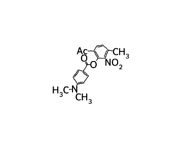 CC(=O)c1ccc(C)c([N+](=O)[O-])c1OC(=O)c1ccc(N(C)C)cc1